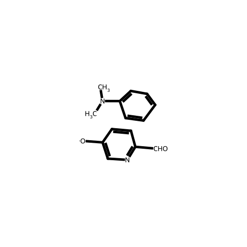 CN(C)c1ccccc1.[O]c1ccc(C=O)nc1